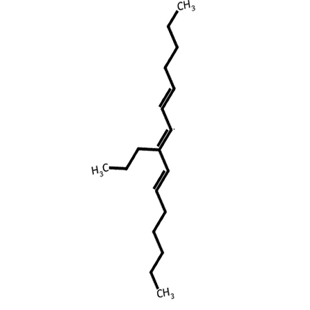 CCCCC=C/[C]=C(/C=CCCCCC)CCC